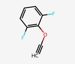 C#COc1c(F)cccc1F